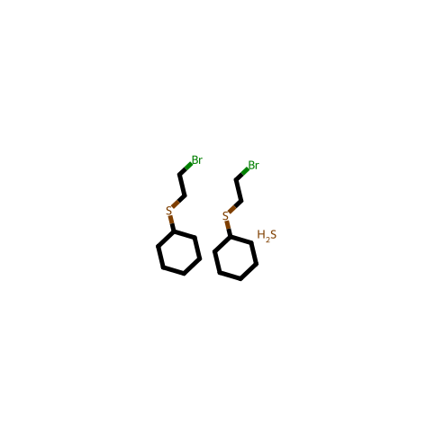 BrCCSC1CCCCC1.BrCCSC1CCCCC1.S